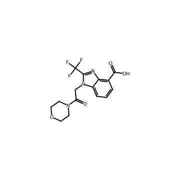 O=C(O)c1cccc2c1nc(C(F)(F)F)n2CC(=O)N1CCOCC1